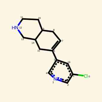 Clc1cncc(C2=CCC3CCNCC3C2)c1